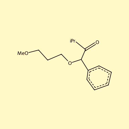 COCCCOC(C(=O)C(C)C)c1ccccc1